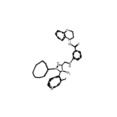 CN1C(CNc2cccc(C(=O)N[C@H]3CCOc4ccccc43)c2)NN(C2CCCCCCC2)C1c1ccncc1F